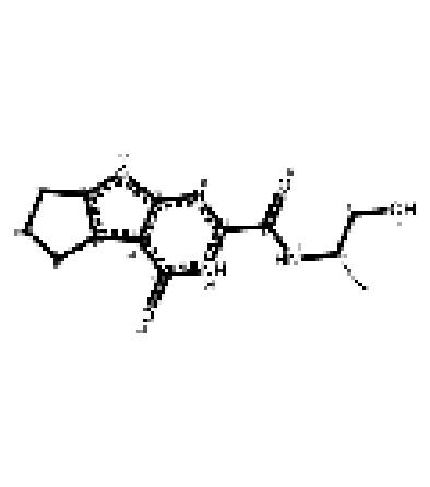 C[C@@H](CO)NC(=O)c1nc2sc3c(c2c(=O)[nH]1)CCC3